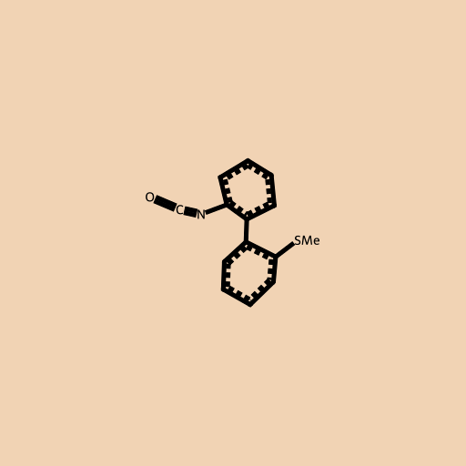 CSc1ccccc1-c1ccccc1N=C=O